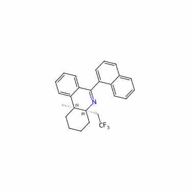 C[C@@]12CCCC[C@]1(CC(F)(F)F)N=C(c1cccc3ccccc13)c1ccccc12